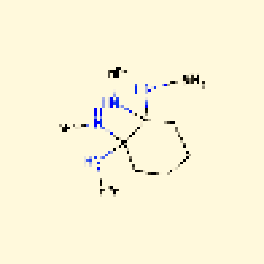 CCCNC1(N[SiH3])CCCCC1(NCCC)NCCC